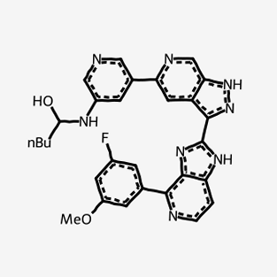 CCCCC(O)Nc1cncc(-c2cc3c(-c4nc5c(-c6cc(F)cc(OC)c6)nccc5[nH]4)n[nH]c3cn2)c1